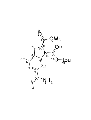 CC=C(N)c1cc(C)c2c(c1)N(C(=O)OC(C)(C)C)[C@H](C(=O)OC)C2